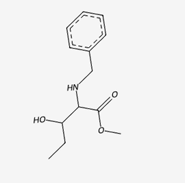 CCC(O)C(NCc1ccccc1)C(=O)OC